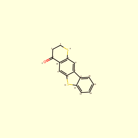 O=C1CCSc2cc3c(cc21)sc1ccccc13